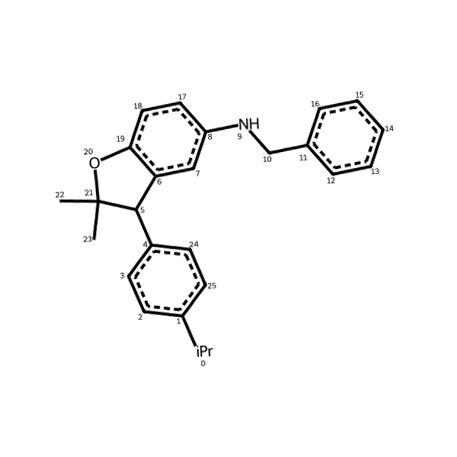 CC(C)c1ccc(C2c3cc(NCc4ccccc4)ccc3OC2(C)C)cc1